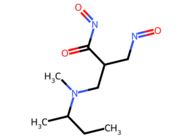 CCC(C)N(C)CC(CN=O)C(=O)N=O